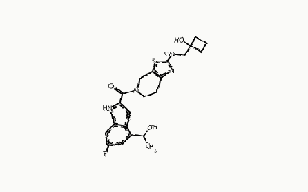 CC(O)c1cc(F)cc2[nH]c(C(=O)N3CCc4nc(NCC5(O)CCC5)sc4C3)cc12